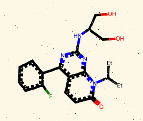 CCC(CC)n1c(=O)ccc2c(-c3ccccc3F)nc(NC(CO)CO)nc21